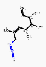 C=C[C@H](OC)[C@@H](OC[C](C)C)[C@H](C)/C=C(/C)CN=[N+]=[N-]